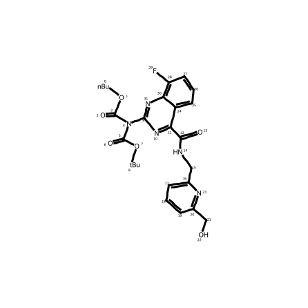 CCCCOC(=O)N(C(=O)OC(C)(C)C)c1nc(C(=O)NCc2cccc(CO)n2)c2cccc(F)c2n1